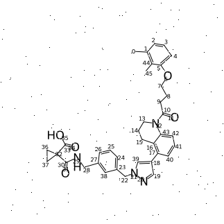 Cc1cccc(OCCCC(=O)N2CCCc3c(-c4cnn(Cc5cccc(CNC(=O)C6(C(=O)O)CC6)c5)c4)cccc32)c1C